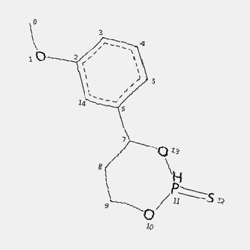 COc1cccc(C2CCO[PH](=S)O2)c1